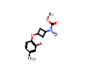 CN(C(=O)OC(C)(C)C)C1CC(Oc2ccc(C(=O)O)cc2Br)C1